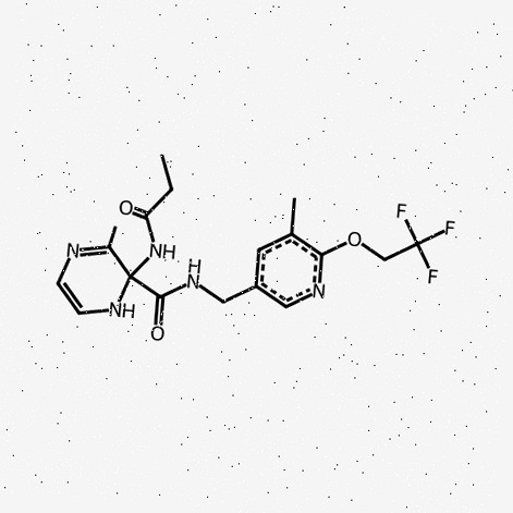 CCC(=O)NC1(C(=O)NCc2cnc(OCC(F)(F)F)c(C)c2)NC=CN=C1C